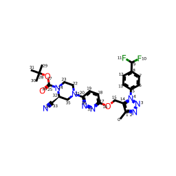 Cc1nnn(-c2ccc(C(F)F)cc2)c1COc1ccc(N2CCN(C(=O)OC(C)(C)C)[C@H](C#N)C2)nn1